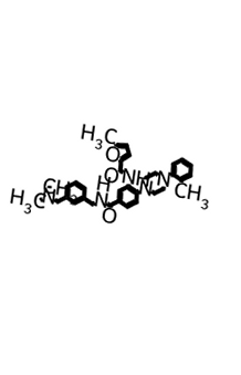 Cc1ccc(C(=O)Nc2cc(C(=O)NCc3cccc(CN(C)C)c3)ccc2N2CCN(c3ccccc3C)CC2)o1